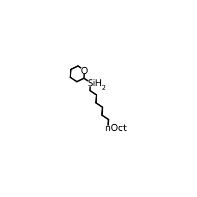 CCCCCCCCCCCCCC[SiH2]C1CCCCO1